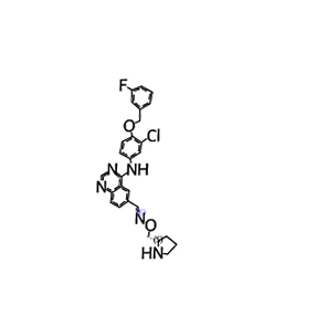 Fc1cccc(COc2ccc(Nc3ncnc4ccc(/C=N/OC[C@@H]5CCCN5)cc34)cc2Cl)c1